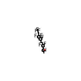 Cc1ccc(-c2cc(F)c(/C=C/c3cc(F)c4c(F)c(C#CC(F)(F)F)c(F)cc4c3)c(F)c2)nc1